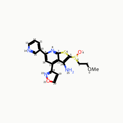 COCC[S+]([O-])c1sc2nc(-c3cccnc3)cc(-c3ccon3)c2c1N